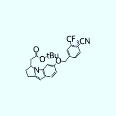 CC(C)(C)OC(=O)CC1CCc2cc3ccc(OCc4ccc(C#N)c(C(F)(F)F)c4)cc3n21